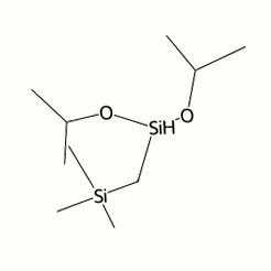 CC(C)O[SiH](C[Si](C)(C)C)OC(C)C